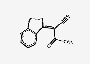 N#CC(C(=O)O)=C1CCc2ccccc21